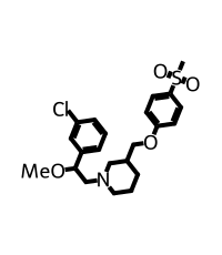 COC(CN1CCCC(COc2ccc(S(C)(=O)=O)cc2)C1)c1cccc(Cl)c1